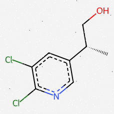 C[C@@H](CO)c1cnc(Cl)c(Cl)c1